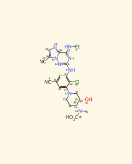 CCNc1nc(Nc2cc(C#N)cc(N3CC[C@@H](N(C)C(=O)O)[C@@H](O)C3)c2Cl)nn2c(C#N)cnc12